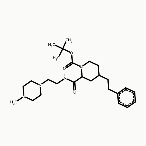 CN1CCN(CCNC(=O)C2CC(CCc3ccccc3)CCN2C(=O)OC(C)(C)C)CC1